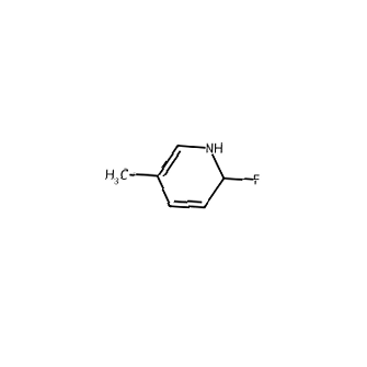 CC1=CNC(F)C=C1